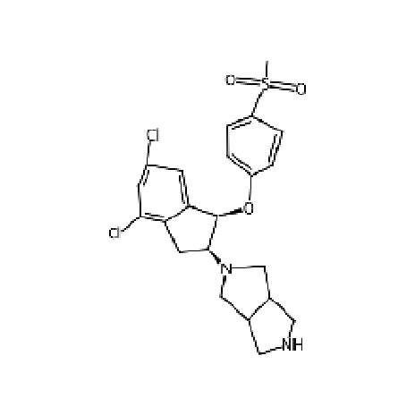 CS(=O)(=O)c1ccc(O[C@@H]2c3cc(Cl)cc(Cl)c3C[C@@H]2N2CC3CNCC3C2)cc1